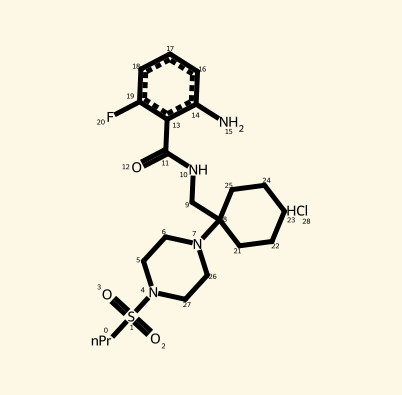 CCCS(=O)(=O)N1CCN(C2(CNC(=O)c3c(N)cccc3F)CCCCC2)CC1.Cl